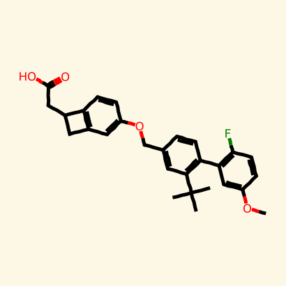 COc1ccc(F)c(-c2ccc(COc3ccc4c(c3)CC4CC(=O)O)cc2C(C)(C)C)c1